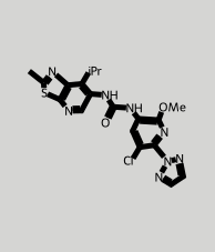 COc1nc(-n2nccn2)c(Cl)cc1NC(=O)Nc1cnc2sc(C)nc2c1C(C)C